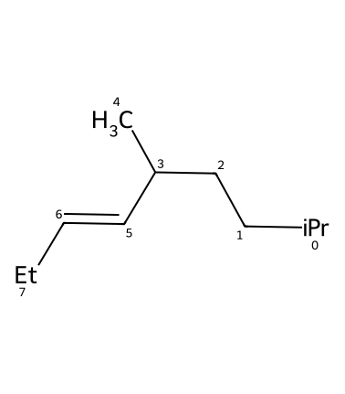 [CH2]C(C)CCC(C)C=CCC